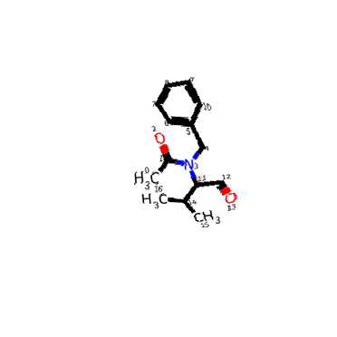 CC(=O)N(Cc1ccccc1)C(C=O)C(C)C